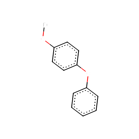 C[CH]Oc1ccc(Oc2ccccc2)cc1